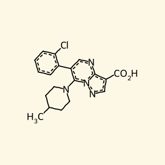 CC1CCN(c2c(-c3ccccc3Cl)cnc3c(C(=O)O)cnn23)CC1